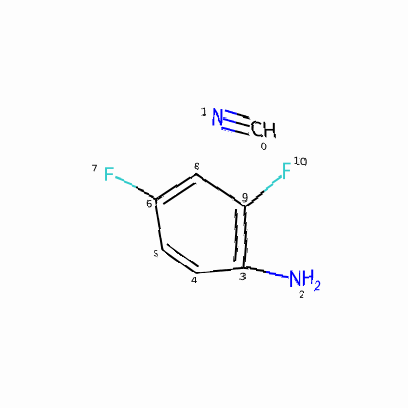 C#N.Nc1ccc(F)cc1F